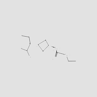 CCNC(=O)N[C@H]1C[C@H](C(CC)C(C)C)C1